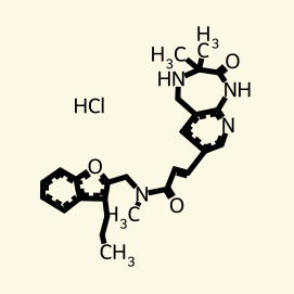 CCCc1c(CN(C)C(=O)C=Cc2cnc3c(c2)CNC(C)(C)C(=O)N3)oc2ccccc12.Cl